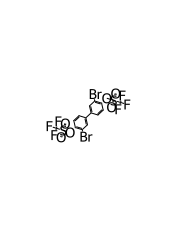 O=S(=O)(Oc1ccc(-c2ccc(OS(=O)(=O)C(F)(F)F)c(Br)c2)cc1Br)C(F)(F)F